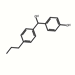 CCCc1ccc(C(O)c2ccc(O)cc2)cc1